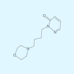 O=c1cccnn1CCCCN1CCOCC1